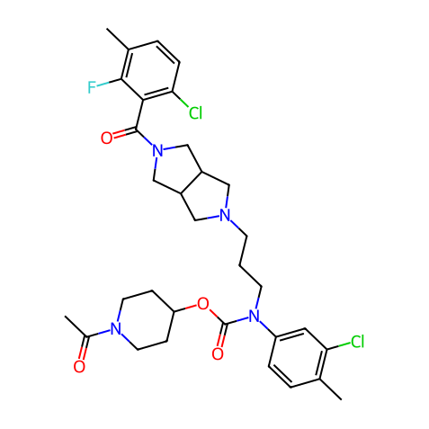 CC(=O)N1CCC(OC(=O)N(CCCN2CC3CN(C(=O)c4c(Cl)ccc(C)c4F)CC3C2)c2ccc(C)c(Cl)c2)CC1